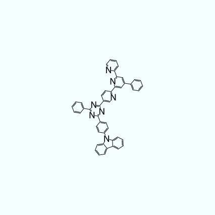 c1ccc(-c2cc(-c3ccccn3)nc(-c3ccc(-c4nc(-c5ccccc5)nc(-c5ccc(-n6c7ccccc7c7ccccc76)cc5)n4)cn3)c2)cc1